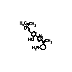 CN(C)C(=O)/C=C/c1ccc(-c2ccc(N(C)[C@H]3CCCCC(N)C3)nn2)c(O)c1